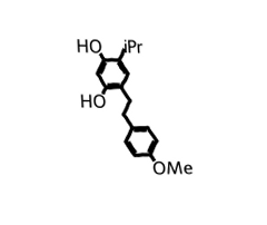 COc1ccc(CCc2cc(C(C)C)c(O)cc2O)cc1